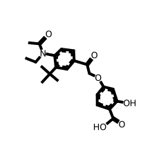 CCN(C(C)=O)c1ccc(C(=O)COc2ccc(C(=O)O)c(O)c2)cc1C(C)(C)C